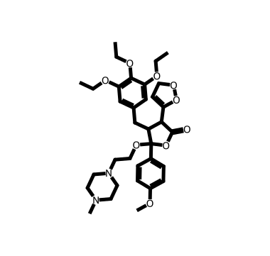 CCOc1cc(CC2C(C3=CCOO3)C(=O)OC2(OCCN2CCN(C)CC2)c2ccc(OC)cc2)cc(OCC)c1OCC